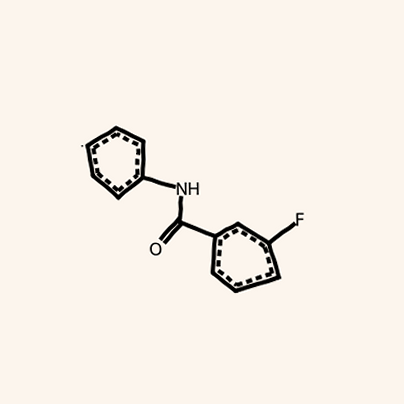 O=C(Nc1cc[c]cc1)c1cccc(F)c1